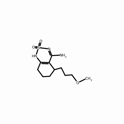 COCCCC1CCCC2=C1C(N)=NS(=O)(=O)N2